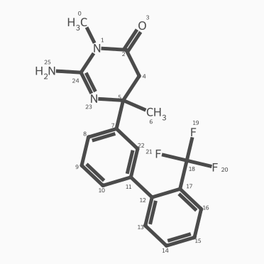 CN1C(=O)CC(C)(c2cccc(-c3ccccc3C(F)(F)F)c2)N=C1N